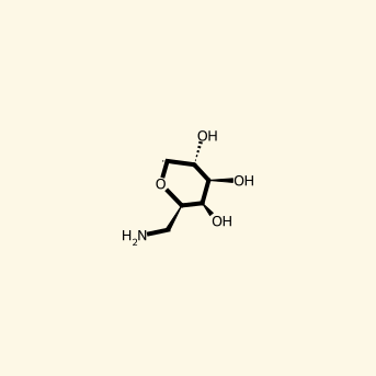 NC[C@H]1O[CH][C@H](O)[C@@H](O)[C@H]1O